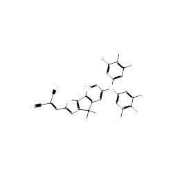 Cc1cc(N(c2cc(C)c(C)c(C)c2)c2cnc3c(c2)C(C)(C)c2cc(C=C(C#N)C#N)sc2-3)cc(C)c1C